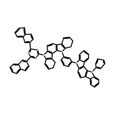 C1=Cc2c(c3c(ccc4c5c(n(-c6cccc(-n7c8ccccc8c8c7ccc7c9ccccc9n(-c9ccccc9)c78)c6)c43)CCC=C5)n2-c2nc(-c3ccc4ccccc4c3)nc(-c3ccc4ccccc4c3)n2)CC1